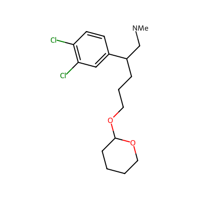 CNCC(CCCOC1CCCCO1)c1ccc(Cl)c(Cl)c1